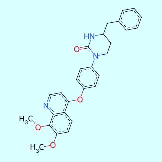 COc1ccc2c(Oc3ccc(N4CCC(Cc5ccccc5)NC4=O)cc3)ccnc2c1OC